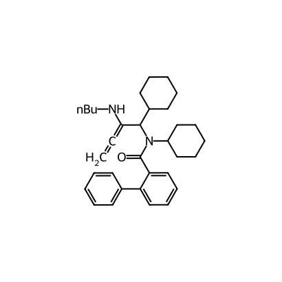 C=C=C(NCCCC)C(C1CCCCC1)N(C(=O)c1ccccc1-c1ccccc1)C1CCCCC1